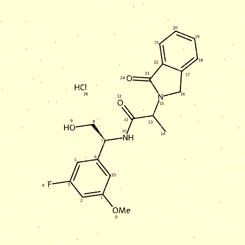 COc1cc(F)cc([C@@H](CO)NC(=O)C(C)N2Cc3ccccc3C2=O)c1.Cl